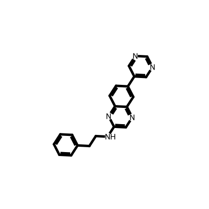 c1ccc(CCNc2cnc3cc(-c4cncnc4)ccc3n2)cc1